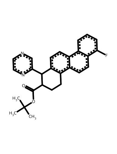 CC(C)(C)OC(=O)C1CCc2c(ccc3c2ccc2c(F)cccc23)C1c1cnccn1